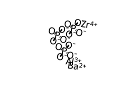 O=P([O-])([O-])[O-].O=P([O-])([O-])[O-].O=P([O-])([O-])[O-].[Al+3].[Ba+2].[Zr+4]